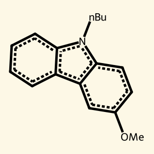 CCCCn1c2ccccc2c2cc(OC)ccc21